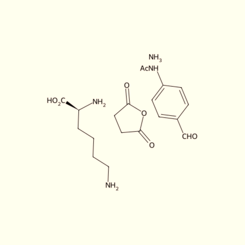 CC(=O)Nc1ccc(C=O)cc1.N.NCCCC[C@H](N)C(=O)O.O=C1CCC(=O)O1